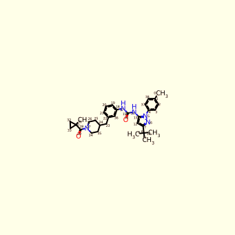 Cc1ccc(-n2nc(C(C)(C)C)cc2NC(=O)Nc2cccc(CC3CCN(C(=O)C4(C)CC4)CC3)c2)cc1